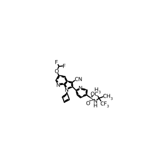 CC(C)(NS(=O)(=O)c1ccc(-c2c(C#N)c3cc(OC(F)F)cnc3n2C2=CC=C2)nc1)C(F)(F)F